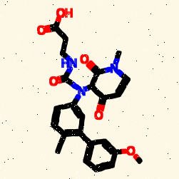 COc1cccc(-c2cc(N(C(=O)NCCC(=O)O)C3C(=O)C=CN(C)C3=O)ccc2C)c1